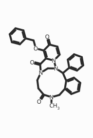 CN1Cc2ccccc2C(c2ccccc2)N2CN(CCC1=O)C(=O)c1c(OCc3ccccc3)c(=O)ccn12